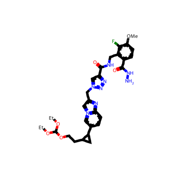 CCOC(OCC)OCCC1CC1c1ccc2nc(Cn3cc(C(=O)NCc4c(C(=O)NN)ccc(OC)c4F)nn3)cn2c1